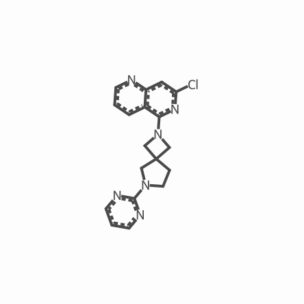 Clc1cc2ncccc2c(N2CC3(CCN(c4ncccn4)C3)C2)n1